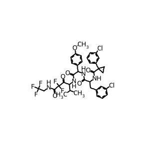 COc1ccc(C(NC(=O)C(Cc2cccc(Cl)c2)NC(=O)C2(c3cccc(Cl)c3)CC2)C(=O)NC(C(=O)C(F)(F)C(=O)NCC(F)(F)F)C(C)C)cc1